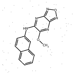 COc1nc2nonc2nc1Nc1ccc2ccccc2c1